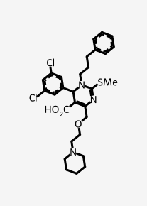 CSC1=NC(COCCN2CCCCC2)=C(C(=O)O)C(c2cc(Cl)cc(Cl)c2)N1CCCc1ccccc1